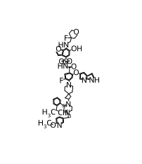 COc1ccc(CN2CCN(C3CC4(CCN(c5cc(Oc6cnc7[nH]ccc7c6)c(C(=O)NS(=O)(=O)c6cc(O)c(NCC7(F)CCOCC7)c7occc67)cc5F)CC4)C3)[C@H](c3ccccc3C(C)C)C2)cn1